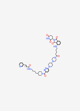 O=C(/C=C/c1cccnc1)NCCCCC1CCN(C(=O)c2ccc(N3CCC(N4CCN(C(=O)CCCCNc5cccc6c5C(=O)N(C5CCC(=O)NC5=O)C6=O)CC4)CC3)nn2)CC1